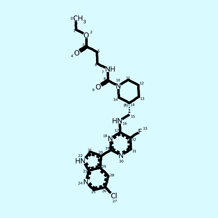 CCOC(=O)CCNC(=O)N1CCC[C@H](CNc2nc(-c3c[nH]c4ncc(Cl)cc34)ncc2F)C1